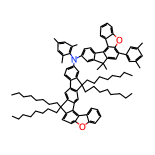 CCCCCCCCC1(CCCCCCCC)c2cc(N(c3ccc4c(c3)C(C)(C)c3cc(-c5cc(C)cc(C)c5)c5oc6ccccc6c5c3-4)c3c(C)cc(C)cc3C)ccc2-c2cc3c(cc21)-c1c(ccc2oc4ccccc4c12)C3(CCCCCCCC)CCCCCCCC